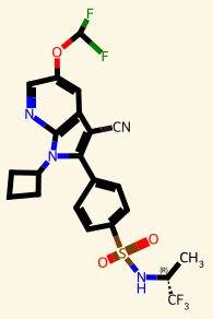 C[C@@H](NS(=O)(=O)c1ccc(-c2c(C#N)c3cc(OC(F)F)cnc3n2C2CCC2)cc1)C(F)(F)F